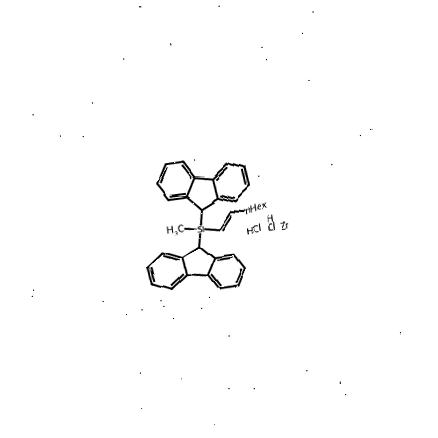 CCCCCC/C=C/[Si](C)(C1c2ccccc2-c2ccccc21)C1c2ccccc2-c2ccccc21.Cl.Cl.[Zr]